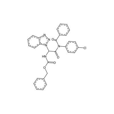 O=C(NC(C(=O)N(C(=O)c1ccccc1)c1ccc(Cl)cc1)n1nnc2ccccc21)OCc1ccccc1